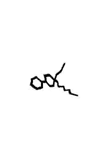 CCCCCCCC1(CCC)CCC(C2CCCCC2)CC1